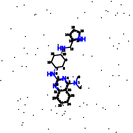 CN(C)c1nc(N[C@H]2CC[C@@H](NCc3ccc[nH]3)CC2)nc2ccccc12